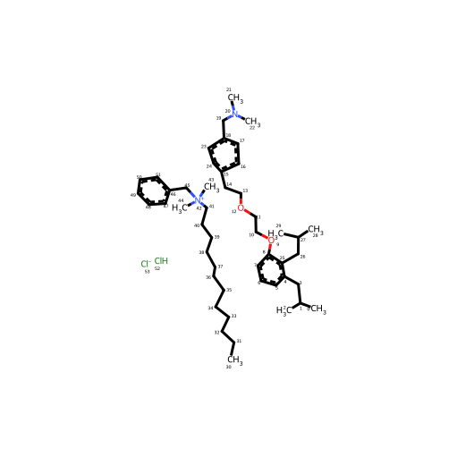 CC(C)Cc1cccc(OCCOCCc2ccc(CN(C)C)cc2)c1CC(C)C.CCCCCCCCCCCC[N+](C)(C)Cc1ccccc1.Cl.[Cl-]